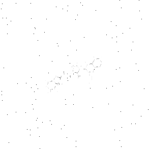 O=C(Nc1scc(-c2ccc3ccccc3c2)c1C(=O)O)c1cc2ccccc2o1